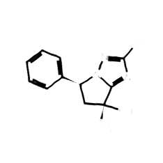 B[C@@]1(O)C[C@@H](c2ccccc2)n2nc(Br)nc21